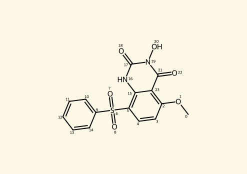 COc1ccc(S(=O)(=O)c2ccccc2)c2[nH]c(=O)n(O)c(=O)c12